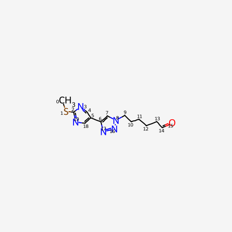 CSc1ncc(-c2cn(CCCCCC=O)nn2)cn1